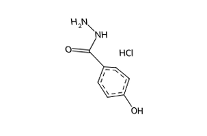 Cl.NNC(=O)c1ccc(O)cc1